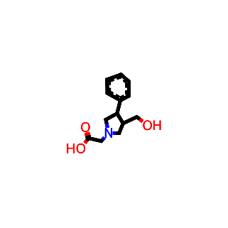 O=C(O)CN1CC(CO)C(c2ccccc2)C1